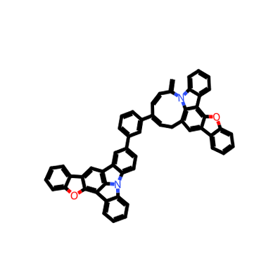 C=C1/C=C\C(c2cccc(-c3ccc4c(c3)c3cc5c6ccccc6oc5c5c6ccccc6n4c35)c2)=C/Cc2cc3c4ccccc4oc3c3c4ccccc4n1c23